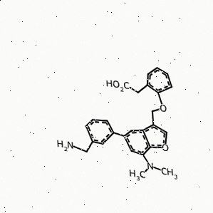 CN(C)c1cc(-c2cccc(CN)c2)cc2c(COc3ccccc3CC(=O)O)coc12